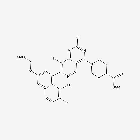 CCc1c(F)ccc2cc(OCOC)cc(-c3ncc4c(N5CCC(C(=O)OC)CC5)nc(Cl)nc4c3F)c12